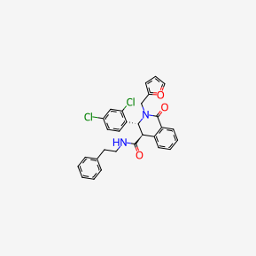 O=C(NCCc1ccccc1)[C@@H]1c2ccccc2C(=O)N(Cc2ccco2)[C@H]1c1ccc(Cl)cc1Cl